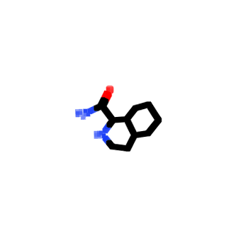 NC(=O)C1NCCC2CCCCC21